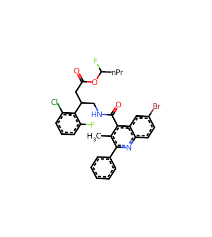 CCCC(F)OC(=O)CC(CNC(=O)c1c(C)c(-c2ccccc2)nc2ccc(Br)cc12)c1c(F)cccc1Cl